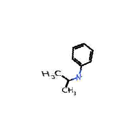 CC(C)[N]c1ccccc1